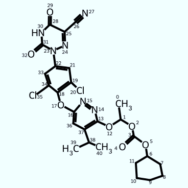 CC(OC(=O)OC1CCCCC1)Oc1nnc(Oc2c(Cl)cc(-n3nc(C#N)c(=O)[nH]c3=O)cc2Cl)cc1C(C)C